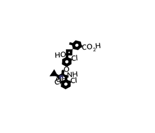 Cc1ccc(C(=O)O)cc1[C@H]1C[C@@](O)(c2ccc(OC/C(C(=N)c3c(Cl)cccc3Cl)=C(/O)C3CC3)cc2Cl)C1